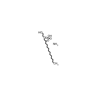 CCCCCCCCCCCCC(COCCO)OS(=O)(=O)O.N